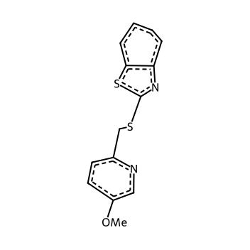 COc1ccc(CSc2nc3ccccc3s2)nc1